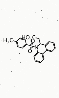 Cc1ccc(S(=O)(=O)N2c3ccccc3-c3ccccc3C2CC(=O)O)cc1